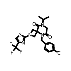 CC(C)N1CC(=O)N(Cc2ccc(Cl)cc2)C2(CN(c3nc(C(F)(F)F)cs3)C2)C1=O